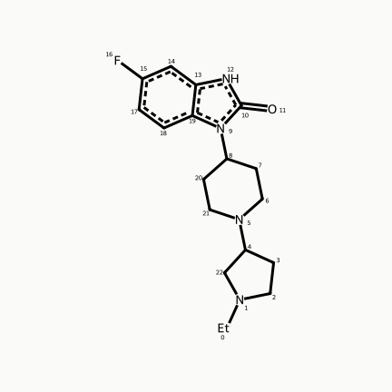 CCN1CCC(N2CCC(n3c(=O)[nH]c4cc(F)ccc43)CC2)C1